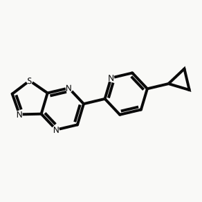 c1nc2ncc(-c3ccc(C4CC4)cn3)nc2s1